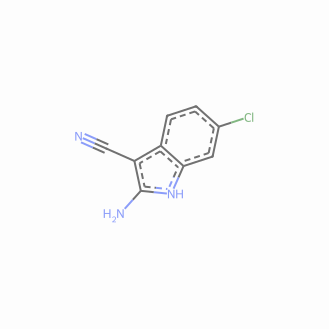 N#Cc1c(N)[nH]c2cc(Cl)ccc12